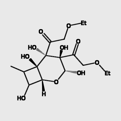 CCOCC(=O)[C@]1(O)[C@@]2(O)C(C)C(O)[C@H]2O[C@@H](O)[C@@]1(O)C(=O)COCC